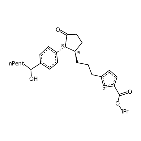 CCCCCC(O)c1ccc([C@@H]2C(=O)CC[C@H]2CCCc2ccc(C(=O)OC(C)C)s2)cc1